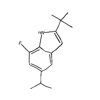 CC(C)c1cc(F)c2[nH]c(C(C)(C)C)cc2c1